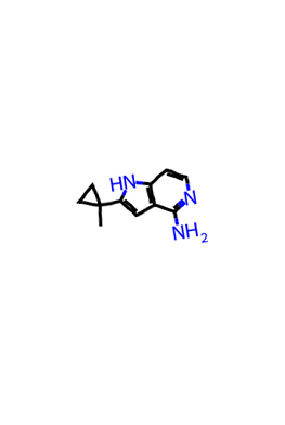 CC1(c2cc3c(N)nccc3[nH]2)CC1